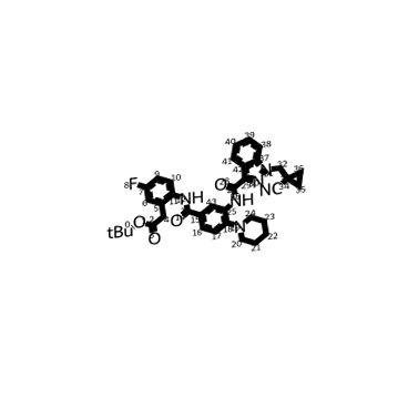 CC(C)(C)OC(=O)Cc1cc(F)ccc1NC(=O)c1ccc(N2CCCCC2)c(NC(=O)c2nn(CC3(C#N)CC3)c3ccccc23)c1